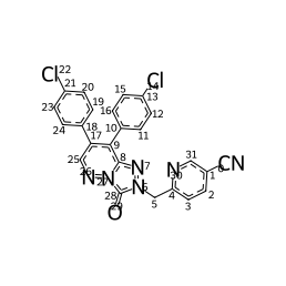 N#Cc1ccc(Cn2nc3c(-c4ccc(Cl)cc4)c(-c4ccc(Cl)cc4)cnn3c2=O)nc1